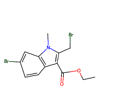 CCOC(=O)c1c(CBr)n(C)c2cc(Br)ccc12